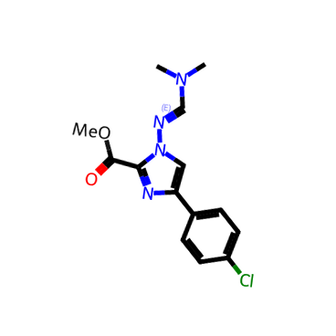 COC(=O)c1nc(-c2ccc(Cl)cc2)cn1/N=C/N(C)C